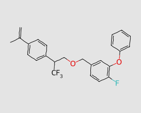 C=C(C)c1ccc(C(COCc2ccc(F)c(Oc3ccccc3)c2)C(F)(F)F)cc1